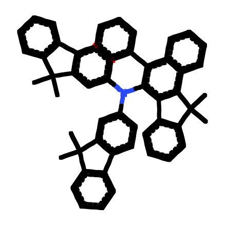 CC1(C)c2ccccc2-c2ccc(N(c3ccc4c(c3)C(C)(C)c3ccccc3-4)c3c4c(c5ccccc5c3-c3ccccc3)C(C)(C)c3ccccc3-4)cc21